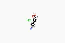 COC(=O)C(C)c1ccc(-c2ccc(C#N)cc2)cc1.Cl